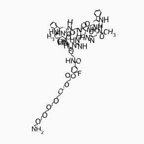 CC(=O)N[C@@H](Cc1c[nH]cn1)C(=O)N[C@@H](Cc1c[nH]c2ccccc12)C(=O)N[C@@H](CCCNC(=N)N)C(=O)NCC(=O)N[C@@H](Cc1c[nH]c2ccccc12)C(=O)N[C@H](C(=O)NCCOCCNC(=O)c1ccc(OC(=O)CCOCCOCCOCCOCCOCCOCCN)c(F)c1)C(C)C